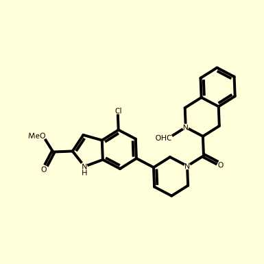 COC(=O)c1cc2c(Cl)cc(C3=CCCN(C(=O)C4Cc5ccccc5CN4C=O)C3)cc2[nH]1